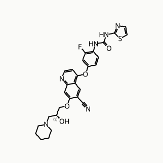 N#Cc1cc2c(Oc3ccc(NC(=O)Nc4nccs4)c(F)c3)ccnc2cc1OC[C@@H](O)CN1CCCCC1